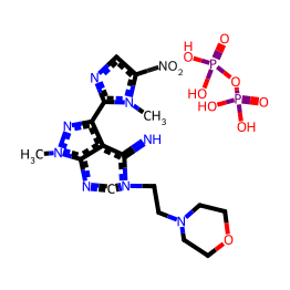 Cn1c([N+](=O)[O-])cnc1-c1nn(C)c2ncn(CCN3CCOCC3)c(=N)c12.O=P(O)(O)OP(=O)(O)O